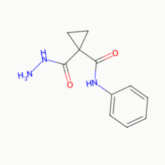 NNC(=O)C1(C(=O)Nc2ccccc2)CC1